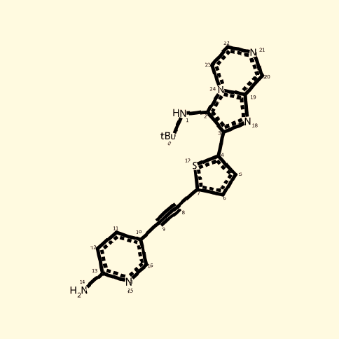 CC(C)(C)Nc1c(-c2ccc(C#Cc3ccc(N)nc3)s2)nc2cnccn12